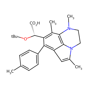 Cc1ccc(-c2c([C@H](OC(C)(C)C)C(=O)O)c(C)c3c4c2cc(C)n4CCN3C)cc1